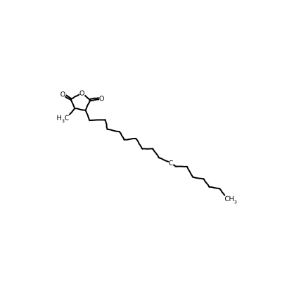 CCCCCCCCCCCCCCCCCC1C(=O)OC(=O)C1C